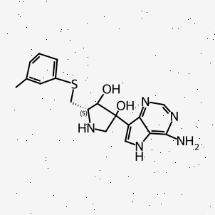 Cc1cccc(SC[C@H]2NCC(O)(c3c[nH]c4c(N)ncnc34)C2O)c1